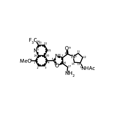 COc1ccc(-c2nc(C(=O)N3CC[C@@H](NC(C)=O)C3)c(CN)o2)c2ccc(C(F)(F)F)nc12